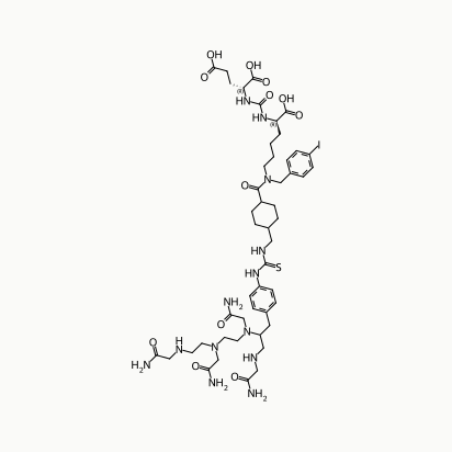 NC(=O)CNCCN(CCN(CC(N)=O)C(CNCC(N)=O)Cc1ccc(NC(=S)NCC2CCC(C(=O)N(CCCC[C@@H](NC(=O)N[C@H](CCC(=O)O)C(=O)O)C(=O)O)Cc3ccc(I)cc3)CC2)cc1)CC(N)=O